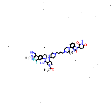 CN/C=C(\C=N)c1cc2c(cc1C(F)F)N(C(=N)C1CN(C(C)=O)CCC1NC1CCN(CCCCN3CCN(c4cccc5c4n(C)c(=O)n5C4CCC(=O)NC4=O)CC3)CC1)CCC2